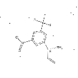 C=C[C@@H](N)c1cc([N+](=O)[O-])cc(C(F)(F)F)c1